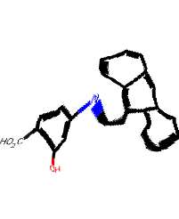 O=C(O)c1ccc(/N=C/c2c3ccccc3cc3ccccc23)cc1O